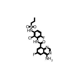 CCCS(=O)(=O)Nc1ccc(F)c(NC(=O)c2cc(F)cc3c(N)ncnc23)c1Cl